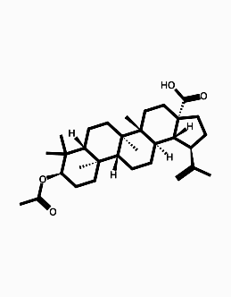 C=C(C)[C@@H]1CC[C@]2(C(=O)O)CC[C@]3(C)[C@H](CC[C@@H]4[C@@]5(C)CC[C@@H](OC(C)=O)C(C)(C)[C@@H]5CC[C@]43C)[C@@H]12